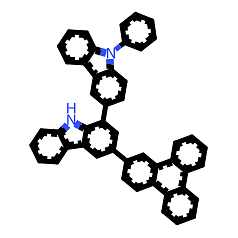 c1ccc(-n2c3ccccc3c3cc(-c4cc(-c5ccc6c7ccccc7c7ccccc7c6c5)cc5c4[nH]c4ccccc45)ccc32)cc1